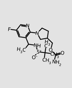 CC(N[S@+]([O-])C(C)(C)C)c1cc(F)cnc1N1CCC(COC(N)=O)C1